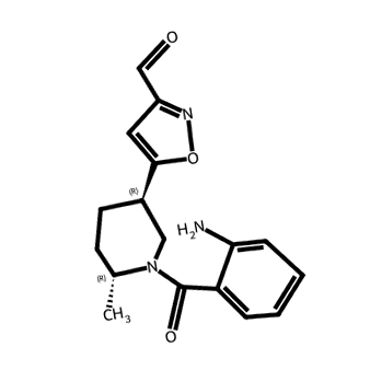 C[C@@H]1CC[C@@H](c2cc(C=O)no2)CN1C(=O)c1ccccc1N